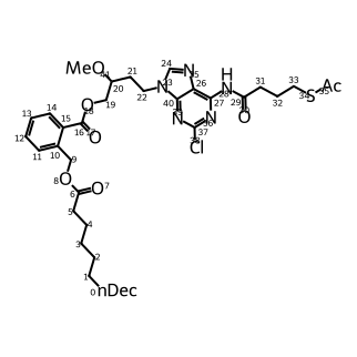 CCCCCCCCCCCCCCCC(=O)OCc1ccccc1C(=O)OCC(CCn1cnc2c(NC(=O)CCCSC(C)=O)nc(Cl)nc21)OC